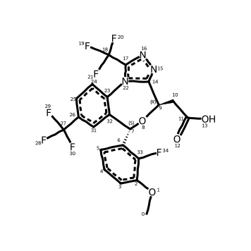 COc1cccc([C@H]2O[C@H](CC(=O)O)c3nnc(C(F)(F)F)n3-c3ccc(C(F)(F)F)cc32)c1F